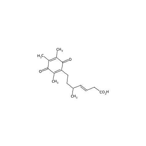 CC1=C(C)C(=O)C(CCC(C)C=CCC(=O)O)=C(C)C1=O